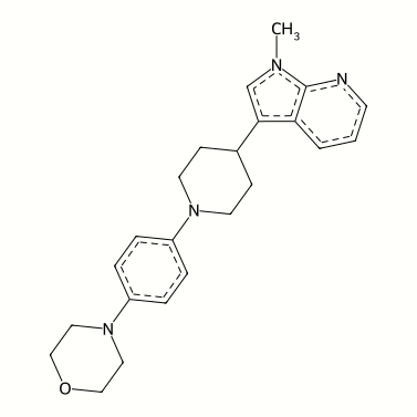 Cn1cc(C2CCN(c3ccc(N4CCOCC4)cc3)CC2)c2cccnc21